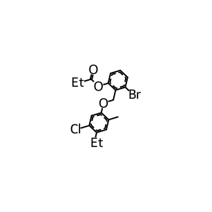 CCC(=O)Oc1cccc(Br)c1COc1cc(Cl)c(CC)cc1C